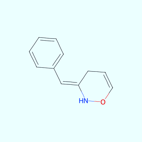 C1=CONC(=Cc2ccccc2)C1